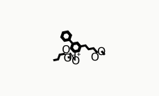 CCCCOc1c(-c2ccccc2)cc(CCCC(=O)OC)cc1[N+](=O)[O-]